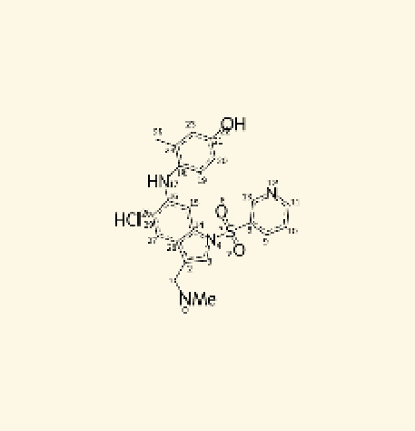 CNCc1cn(S(=O)(=O)c2cccnc2)c2cc(Nc3ccc(O)cc3C)ccc12.Cl